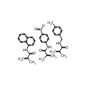 C=C(C)C(=O)NCc1ccc(C)cc1.C=C(C)C(=O)Nc1ccc([N+](=O)[O-])cc1.C=C(C)C(=O)Nc1cccc2ccccc12